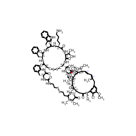 COc1cc2cc(c1Cl)N(C)C(=O)C[C@H](OC(=O)[C@H](C)N(C)C(=O)CCSSCCNC(=O)N[C@H](Cc1ccccc1)C(=O)N[C@H]1CSSC[C@@H](C(=O)N[C@H](CO)[C@@H](C)O)NC(=O)[C@H]([C@@H](C)O)NC(=O)[C@H](CCCCN)NC(=O)[C@@H](Cc3c[nH]c4ccccc34)NC(=O)[C@H](Cc3ccccc3)NC1=O)[C@]1(C)O[C@H]1[C@H](C)[C@@H]1C[C@@](O)(NC(=O)O1)[C@H](OC)/C=C/C=C(\C)C2